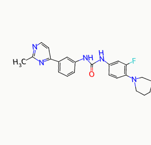 Cc1nccc(-c2cccc(NC(=O)Nc3ccc(N4CCCCC4)c(F)c3)c2)n1